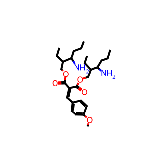 CCCC(N)C(CC)COC(=O)C(=Cc1ccc(OC)cc1)C(=O)OCC(CC)C(N)CCC